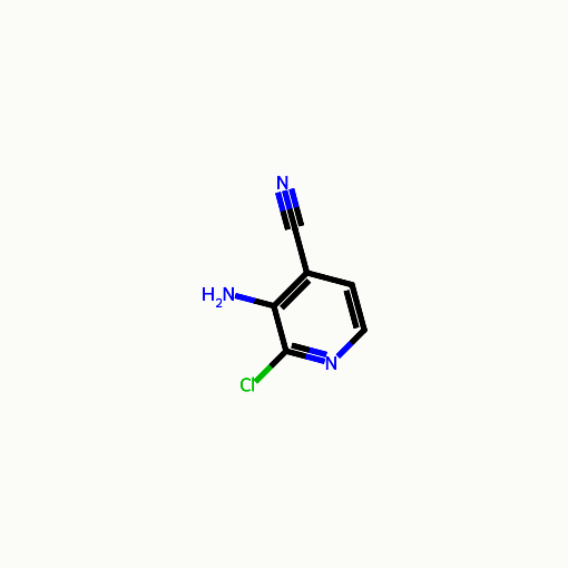 N#Cc1ccnc(Cl)c1N